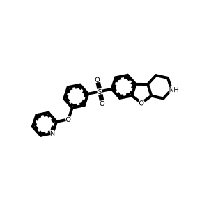 O=S(=O)(c1cccc(Oc2ccccn2)c1)c1ccc2c(c1)OC1CNCCC21